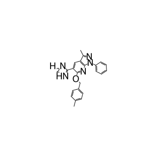 Cc1ccc(COc2nc3c(cc2C(=N)N)c(C)nn3-c2ccccc2)cc1